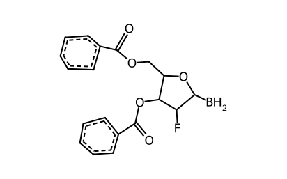 BC1OC(COC(=O)c2ccccc2)C(OC(=O)c2ccccc2)C1F